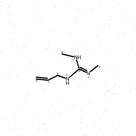 C=CCN/C(=N/C)NC